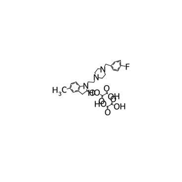 Cc1ccc2c(c1)CC(=O)N2CCN1CCN(Cc2ccc(F)cc2)CC1.O=C(O)C(=O)O.O=C(O)C(=O)O